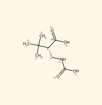 CC(C)(C)[C@@H](CNC(=O)O)C(=O)O